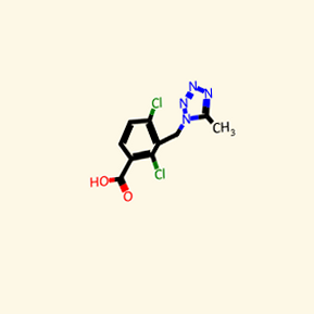 Cc1nnnn1Cc1c(Cl)ccc(C(=O)O)c1Cl